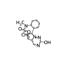 CN(c1ccccc1-c1ccc2cnc(O)nn12)S(C)(=O)=O